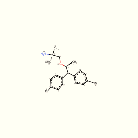 CCc1ccc(C(c2ccc(CC)cc2)[C@H](C)OC[C@](C)(N)C=O)cc1